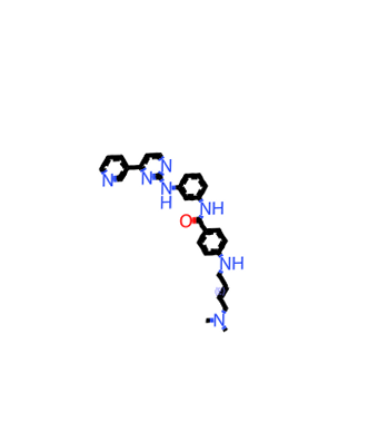 CN(C)C/C=C/CNc1ccc(C(=O)Nc2cccc(Nc3nccc(-c4cccnc4)n3)c2)cc1